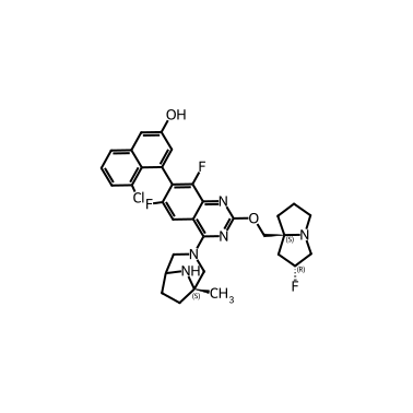 C[C@]12CCC(CN(c3nc(OC[C@@]45CCCN4C[C@H](F)C5)nc4c(F)c(-c5cc(O)cc6cccc(Cl)c56)c(F)cc34)C1)N2